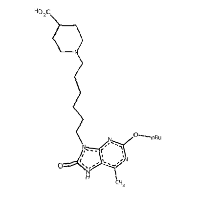 CCCCOc1nc(C)c2[nH]c(=O)n(CCCCCCN3CCC(C(=O)O)CC3)c2n1